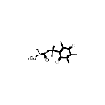 CCCCN(C)C(=O)CC(C)(C)C1=C(C)C(=O)C(C)=C(C)C1=O